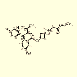 CCOC(=O)CN1CC2(CC(Oc3nc(C(C)C)c(-c4ccc(F)cc4)c4ccc(O)cc34)C2)C1